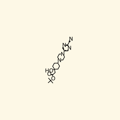 CC(C)(C)OC(=O)CC1(O)CCC(N2CCN(c3cnc(C#N)nc3)CC2)CC1